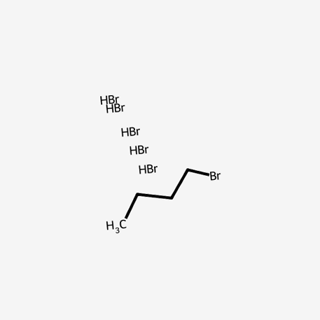 Br.Br.Br.Br.Br.CCCCBr